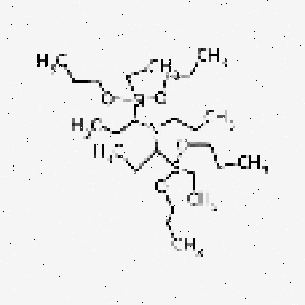 CCCO[Si](CC)(OCCC)C(CC)N(CCC)C(CC)[Si](CC)(OCCC)OCCC